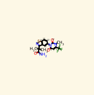 Cn1c(C(F)(F)F)cc(=O)n(-c2ccc3snc(C(C)(C)C(N)=O)c3c2)c1=O